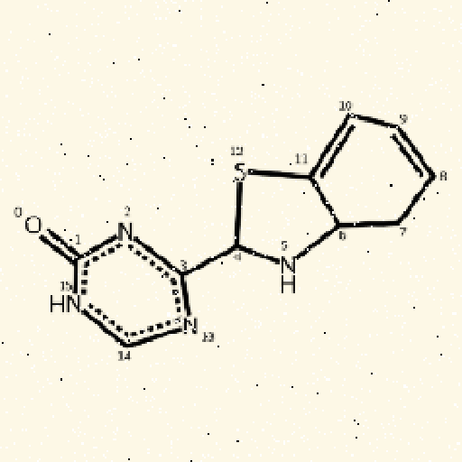 O=c1nc(C2NC3CC=CC=C3S2)nc[nH]1